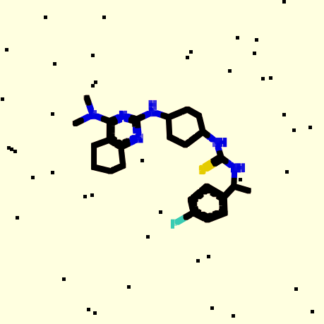 CC(NC(=S)NC1CCC(Nc2nc3c(c(N(C)C)n2)CCCC3)CC1)c1ccc(F)cc1